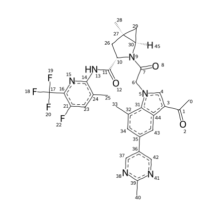 CC(=O)c1cn(CC(=O)N2[C@H](C(=O)Nc3nc(C(F)(F)F)c(F)cc3C)C[C@@]3(C)C[C@@H]23)c2c(C)cc(-c3cnc(C)nc3)cc12